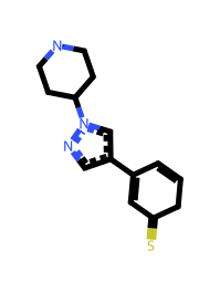 S=C1C=C(c2cnn(C3CC[N]CC3)c2)C=CC1